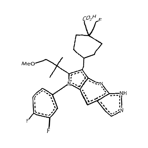 COCC(C)(C)c1c(C2CCC(F)(C(=O)O)CC2)c2nc3[nH]ncc3cc2n1-c1ccc(F)c(F)c1